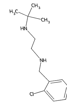 CC(C)(C)NCCNCc1ccccc1Cl